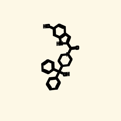 O=C(c1cc2ccc(O)cc2[nH]1)N1CCC(C(O)(c2ccccc2)c2ccccc2)CC1